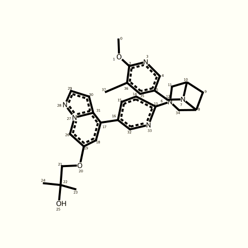 COc1ncc(CN2C3CC2CN(c2ccc(-c4cc(OCC(C)(C)O)cn5nccc45)cn2)C3)cc1C